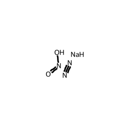 N#N.O=NO.[NaH]